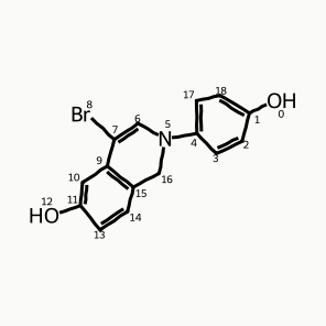 Oc1ccc(N2C=C(Br)c3cc(O)ccc3C2)cc1